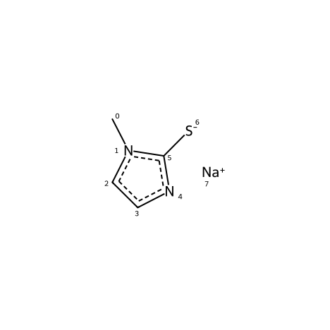 Cn1ccnc1[S-].[Na+]